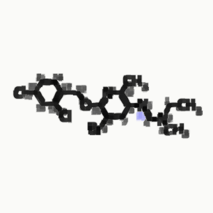 CCN(C)/C=N/c1cc(Br)c(OCc2ccc(Cl)cc2Cl)nc1C